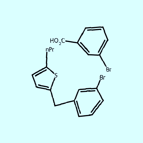 CCCc1ccc(Cc2cccc(Br)c2)s1.O=C(O)c1cccc(Br)c1